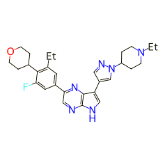 CCc1cc(-c2cnc3[nH]cc(-c4cnn(C5CCN(CC)CC5)c4)c3n2)cc(F)c1C1CCOCC1